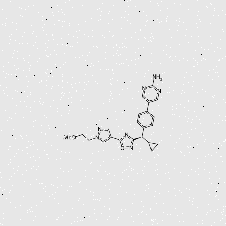 COCCn1cc(-c2nc([C@@H](c3ccc(-c4cnc(N)nc4)cc3)C3CC3)no2)cn1